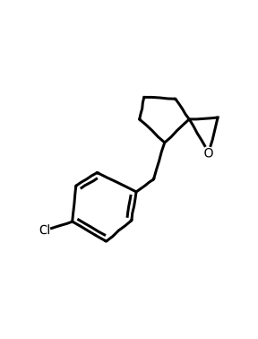 Clc1ccc(CC2CCCC23CO3)cc1